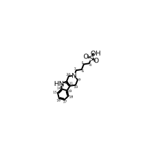 O=S(=O)(O)CCCCN1CCc2c([nH]c3ccccc23)C1